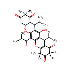 CC(C)C(=O)c1c(O)c(C(C(C)C)C2C(=O)CC(=O)C(C)(C)C2=O)c(O)c2c1OC1=C(C(=O)C(C)(C)C(=O)C1(C)C)C2C(C)C